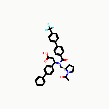 CC(=O)N1CCC[C@@H]1CN(C(=O)c1ccc(-c2ccc(C(F)(F)F)cc2)cc1)C(CC(=O)O)c1ccc(-c2ccccc2)cc1